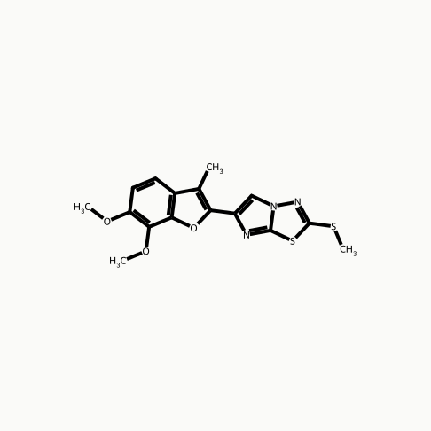 COc1ccc2c(C)c(-c3cn4nc(SC)sc4n3)oc2c1OC